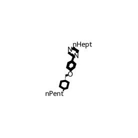 CCCCCCCc1cnc(-c2ccc(OC[C@H]3CC[C@H](CCCCC)CC3)cc2)cn1